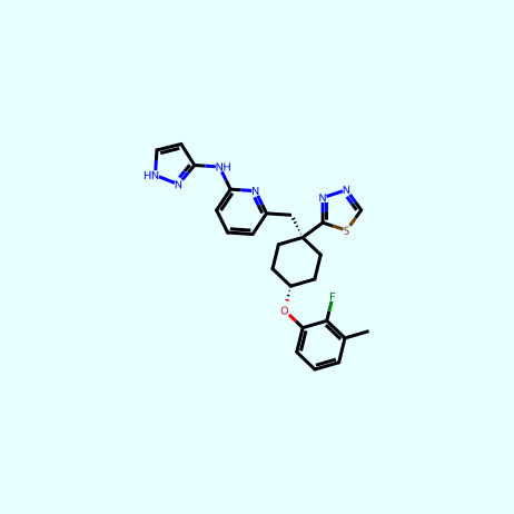 Cc1cccc(O[C@H]2CC[C@](Cc3cccc(Nc4cc[nH]n4)n3)(c3nncs3)CC2)c1F